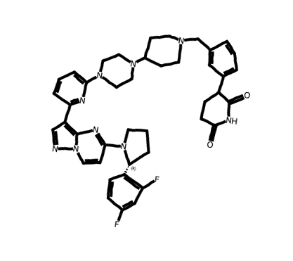 O=C1CCC(c2cccc(CN3CCC(N4CCN(c5cccc(-c6cnn7ccc(N8CCC[C@@H]8c8ccc(F)cc8F)nc67)n5)CC4)CC3)c2)C(=O)N1